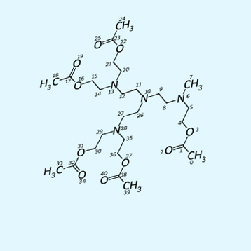 CC(=O)OCCN(C)CCN(CCN(CCOC(C)=O)CCOC(C)=O)CCN(CCOC(C)=O)CCOC(C)=O